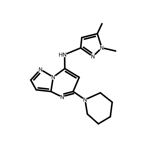 Cc1cc(Nc2cc(N3CCCCC3)nc3ccnn23)nn1C